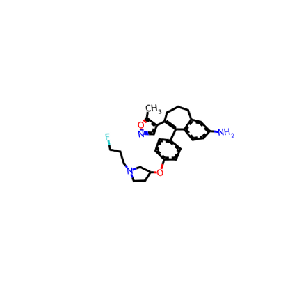 Cc1oncc1C1=C(c2ccc(OC3CCN(CCCF)C3)cc2)c2ccc(N)cc2CCC1